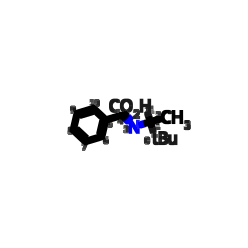 CC(C)(C)C(C)(N=Cc1ccccc1)C(=O)O